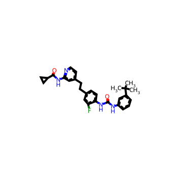 CC(C)(C)c1cccc(NC(=O)Nc2ccc(CCc3ccnc(NC(=O)C4CC4)c3)cc2F)c1